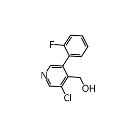 OCc1c(Cl)cncc1-c1ccccc1F